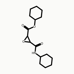 O=C(NC1CCCCC1)C1OC1C(=O)OC1CCCCC1